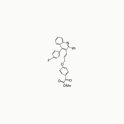 COC(=O)C(=O)c1ccc(OCC=Cc2c(C(C)C)nc3ccccc3c2-c2ccc(F)cc2)cc1